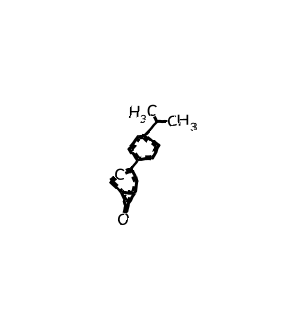 CC(C)c1ccc(-c2ccc3c(=O)c3c2)cc1